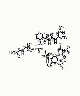 COc1nc(C)nc(NC(=O)NS(=O)(=O)c2ccccc2CCC(F)(F)F)n1.C[S+](C)C.Cc1nn(-c2cc(NS(C)(=O)=O)c(Cl)cc2Cl)c(=O)n1C(F)F.O=C(O)CNCP(=O)([O-])O